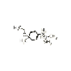 CCOC1(C)C=CC([SiH2][SiH](C)[SiH3])=CC1